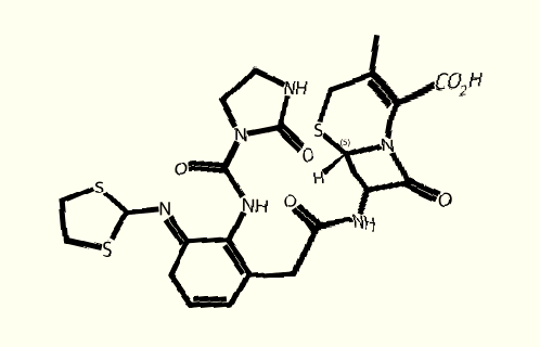 CC1=C(C(=O)O)N2C(=O)C(NC(=O)CC3=C(NC(=O)N4CCNC4=O)C(=NC4SCCS4)CC=C3)[C@@H]2SC1